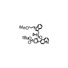 COCCCn1cc(CN(C(=O)[C@H]2CN(C(=O)OC(C)(C)C)CC[C@@H]2c2ccc3ncccc3c2)C2CC2)c2ccccc21